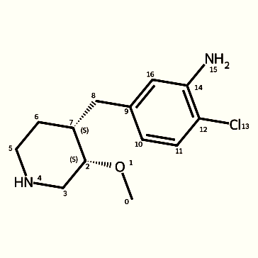 CO[C@@H]1CNCC[C@@H]1Cc1ccc(Cl)c(N)c1